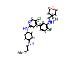 COCCN[C@H]1CC[C@H](Nc2cc(-c3ccc(F)c(NCC4(C#N)CCOCC4)c3)c(Cl)cn2)CC1